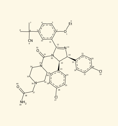 CCOc1ccc(C(C)(C)C#N)cc1C1=N[C@@H](c2ccc(Cl)cc2)[C@@H](c2ccc(Cl)cc2)N1C(=O)N1CCN(CC(N)=O)CC1